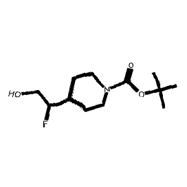 CC(C)(C)OC(=O)N1CCC(C(F)CO)CC1